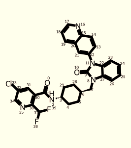 O=C(N[C@H]1CC[C@H](Cn2c(=O)n(-c3ccc4ncccc4c3)c3ccccc32)CC1)c1cc(Cl)cnc1C(F)F